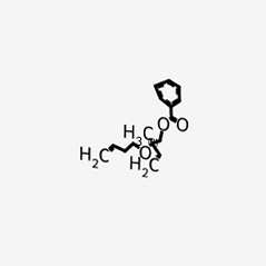 C=CCCO[C@](C)(C=C)COC(=O)c1ccccc1